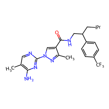 Cc1cnc(-n2cc(C(=O)NCC(CC(C)C)c3ccc(C(F)(F)F)cc3)c(C)n2)nc1N